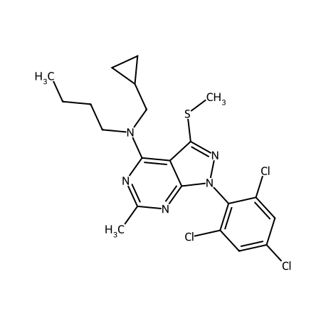 CCCCN(CC1CC1)c1nc(C)nc2c1c(SC)nn2-c1c(Cl)cc(Cl)cc1Cl